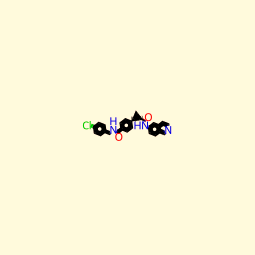 O=C(NCc1ccc(Cl)cc1)c1ccc([C@@H]2C[C@H]2C(=O)Nc2ccc3cnccc3c2)cc1